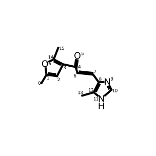 Cc1cc(C(=O)C=Cc2nc[nH]c2C)c(C)o1